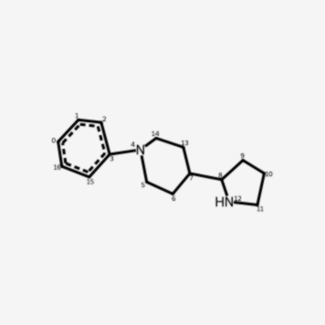 c1ccc(N2CCC(C3CCCN3)CC2)cc1